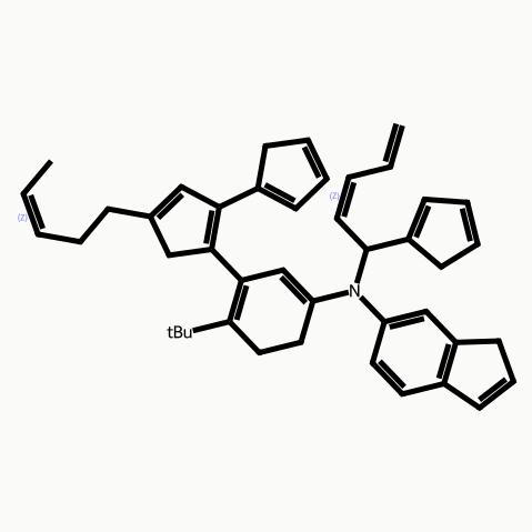 C=C/C=C\C(C1=CC=CC1)N(C1=CC(C2=C(C3=CC=CC3)C=C(CC/C=C\C)C2)=C(C(C)(C)C)CC1)c1ccc2c(c1)CC=C2